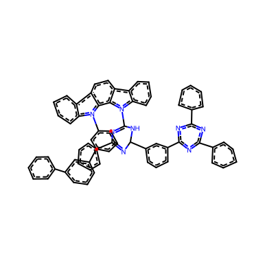 c1ccc(C2=NC(c3cccc(-c4nc(-c5ccccc5)nc(-c5ccccc5)n4)c3)NC(n3c4ccccc4c4ccc5c6ccccc6n(-c6cccc(-c7cccc(-c8ccccc8)c7)c6)c5c43)=N2)cc1